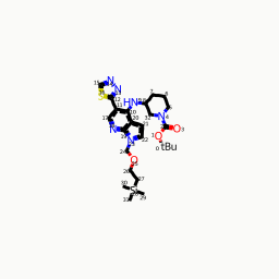 CC(C)(C)OC(=O)N1CCCC(Nc2c(-c3nncs3)cnc3c2ccn3COCC[Si](C)(C)C)C1